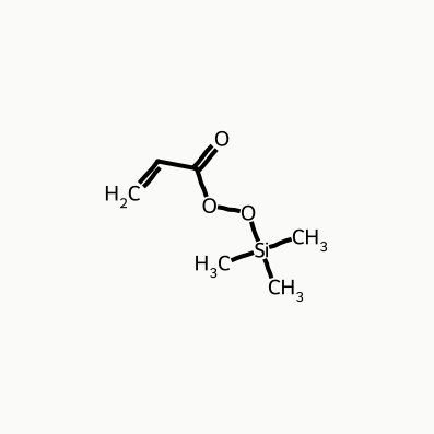 C=CC(=O)OO[Si](C)(C)C